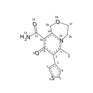 Cc1c(-c2ccsc2)c(=O)c(C(N)=O)c2n1CCOC2